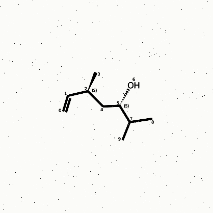 C=C[C@@H](C)C[C@H](O)C(C)C